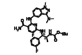 C[C@H](NC(=O)OC(C)(C)C)[C@H](Nc1nc(Nc2ccc3c(c2)c(N(C)C)nn3C)c(C(N)=O)cc1F)c1cccc(F)c1